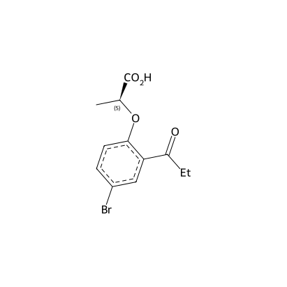 CCC(=O)c1cc(Br)ccc1O[C@@H](C)C(=O)O